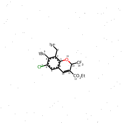 [2H]Cc1c2c(cc(Cl)c1C(C)(C)C)C=C(C(=O)OCC)C(C(F)(F)F)O2